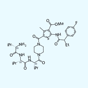 CCC(C(=O)Nc1sc(C(=O)N2CCN(C(=O)[C@@H](NC(=O)[C@@H](NC(=O)[C@@H](N)C(C)C)C(C)C)C(C)C)CC2)c(C)c1C(=O)OC)c1ccc(F)cc1